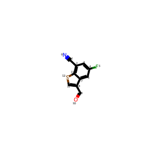 N#Cc1cc(F)cc2c(C=O)csc12